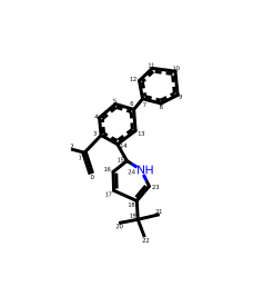 C=C(C)c1ccc(-c2ccccc2)cc1C1C=CC(C(C)(C)C)=CN1